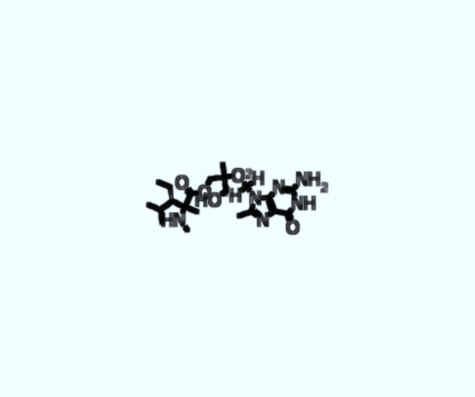 [2H]C([2H])(OC(C)(CO)COC(=O)C(C)(NC)[C@H](CC)C(C)C)n1c(C)nc2c(=O)[nH]c(N)nc21